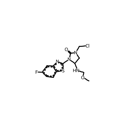 COCNC1CN(CCl)C(=O)N1c1nc2cc(F)ccc2s1